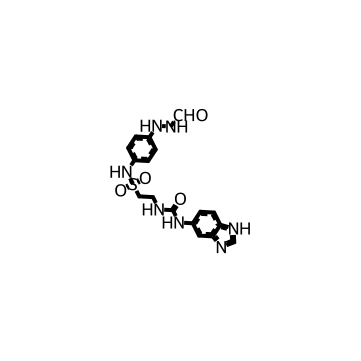 O=CNNc1ccc(NS(=O)(=O)CCNC(=O)Nc2ccc3[nH]cnc3c2)cc1